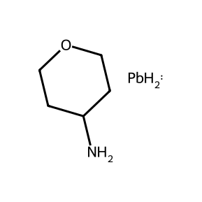 NC1CCOCC1.[PbH2]